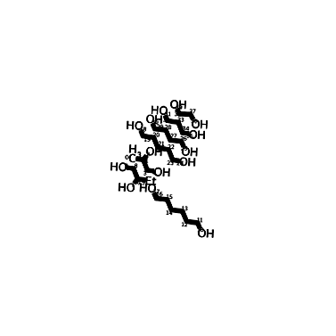 CC(O)CO.CCC(O)CO.OCCCCCCO.OCCCCCO.OCCCCO.OCCCO.OCCO